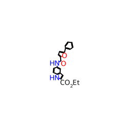 CCOC(=O)c1cc2cc(NC(=O)c3ccc(-c4ccccc4)o3)ccc2[nH]1